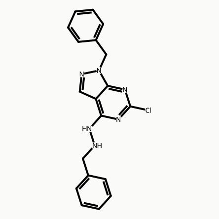 Clc1nc(NNCc2ccccc2)c2cnn(Cc3ccccc3)c2n1